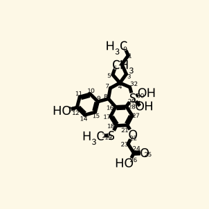 CCCCC1(CC)CC(c2ccc(O)cc2)c2cc(SC)c(OCC(=O)O)cc2S(O)(O)C1